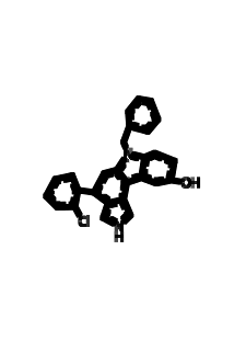 Oc1ccc2c(c1)c1c3c[nH]cc3c(-c3ccccc3Cl)cc1n2Cc1ccccc1